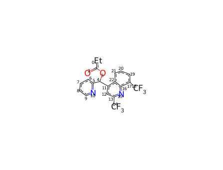 CCC(=O)OC(c1ccccn1)c1cc(C(F)(F)F)nc2c(C(F)(F)F)cccc12